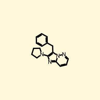 c1ccc(Cc2c(N3CCCC3)nc3cccnn23)cc1